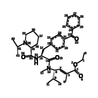 CCOC(=O)/C(C)=C/[C@H](C(C)C)N(C)C(=O)[C@H](Cc1ccc(C(=O)c2ccccc2)cc1)NC(=O)C1CCCCN1C(C)C